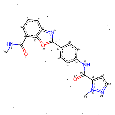 CNC(=O)c1cccc2nc(-c3ccc(NC(=O)c4ccnn4C)cc3)oc12